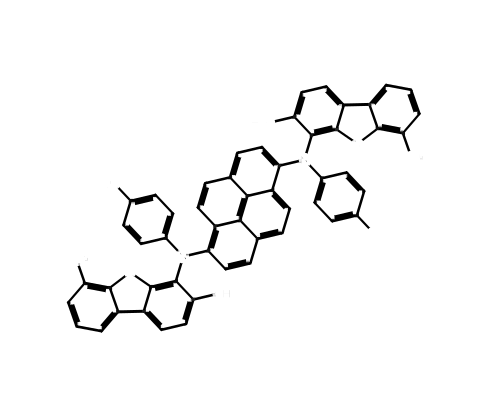 Cc1ccc(N(c2ccc3ccc4c(N(c5ccc(C)cc5)c5c(C)ccc6c5sc5c(C(C)(C)C)cccc56)ccc5ccc2c3c54)c2c(C)ccc3c2sc2c(C(C)(C)C)cccc23)cc1